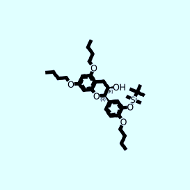 CCCCOc1cc(OCCCC)c2c(c1)O[C@H](c1ccc(OCCCC)c(O[Si](C)(C)C(C)(C)C)c1)[C@H](O)C2